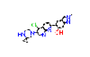 Cn1cc2cc(-c3ccc4c(Cl)c(N5CCNC6(CC6)C5)cnc4n3)c(O)cc2n1